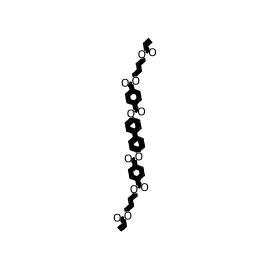 C=CC(=O)OCCCCOC(=O)C1CCC(C(=O)Oc2ccc(-c3ccc(OC(=O)C4CCC(C(=O)OCCCCOC(=O)C=C)CC4)cc3)cc2)CC1